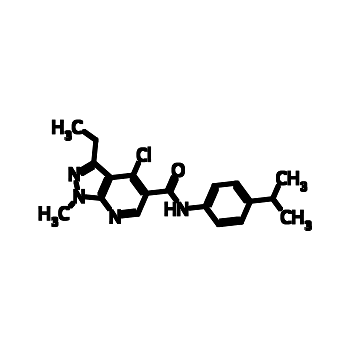 CCc1nn(C)c2ncc(C(=O)Nc3ccc(C(C)C)cc3)c(Cl)c12